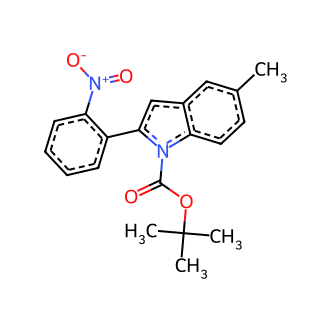 Cc1ccc2c(c1)cc(-c1ccccc1[N+](=O)[O-])n2C(=O)OC(C)(C)C